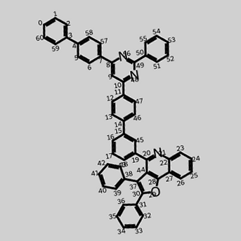 c1ccc(-c2ccc(-c3cc(-c4ccc(-c5cccc(-c6nc7ccccc7c7oc(-c8ccccc8)c(-c8ccccc8)c67)c5)cc4)nc(-c4ccccc4)n3)cc2)cc1